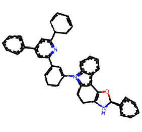 C1=CCC(c2cc(-c3ccccc3)cc(C3=CCCC(n4c5c(c6ccccc64)C4=C(CC5)NC(c5ccccc5)O4)=C3)n2)C=C1